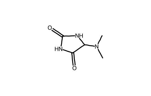 CN(C)C1NC(=O)NC1=O